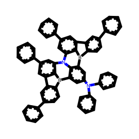 c1ccc(-c2ccc3c(c2)-c2cc(-c4ccccc4)cc4c2B3c2cc(N(c3ccccc3)c3ccccc3)cc3c2N4c2cc(-c4ccccc4)cc4c2B3c2ccc(-c3ccccc3)cc2-4)cc1